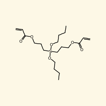 C=CC(=O)OCCC[Si](CCCOC(=O)C=C)(OCCCC)OCCCC